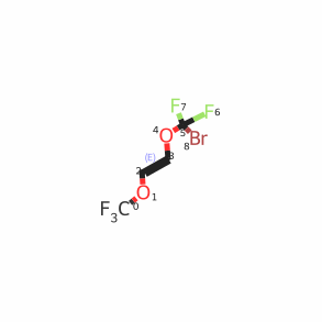 FC(F)(F)O/C=C/OC(F)(F)Br